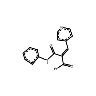 CC(C)C(=O)C(=Cc1ccncc1)C(=O)Nc1ccccc1